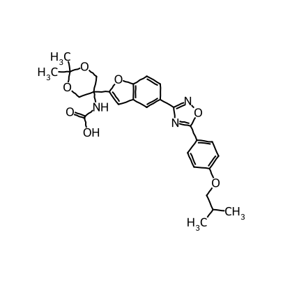 CC(C)COc1ccc(-c2nc(-c3ccc4oc(C5(NC(=O)O)COC(C)(C)OC5)cc4c3)no2)cc1